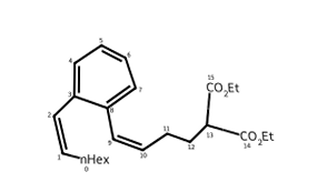 CCCCCC/C=C\c1ccccc1/C=C\CCC(C(=O)OCC)C(=O)OCC